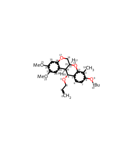 C=CCO[C@@H]1c2ccc(OC(C)(C)C)c(C)c2O[C@@H]2COc3cc(OC)c(OC)cc3[C@H]12